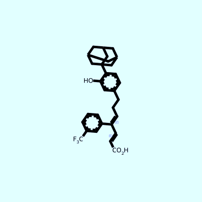 O=C(O)/C=C/C(=C/CCc1ccc(C23CC4CC(CC(C4)C2)C3)c(O)c1)c1cccc(C(F)(F)F)c1